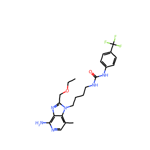 CCOCc1nc2c(N)ncc(C)c2n1CCCCNC(=O)Nc1ccc(C(F)(F)F)cc1